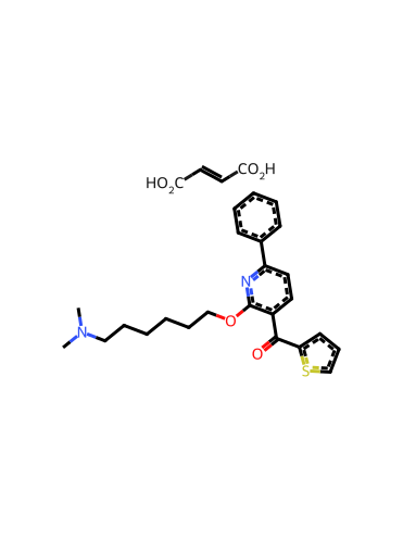 CN(C)CCCCCCOc1nc(-c2ccccc2)ccc1C(=O)c1cccs1.O=C(O)C=CC(=O)O